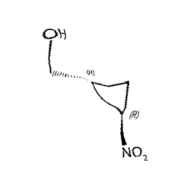 O=[N+]([O-])[C@@H]1C[C@H]1CO